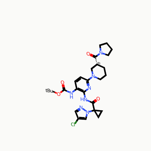 CC(C)(C)OC(=O)Nc1ccc(N2CCC[C@@H](C(=O)N3CCCC3)C2)nc1NC(=O)C1(n2cc(Cl)cn2)CC1